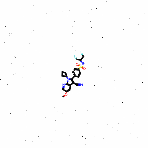 COc1cnc2c(c1)c(C#N)c(-c1ccc(S(=O)(=O)NC(CF)CF)cc1)n2C1CCC1